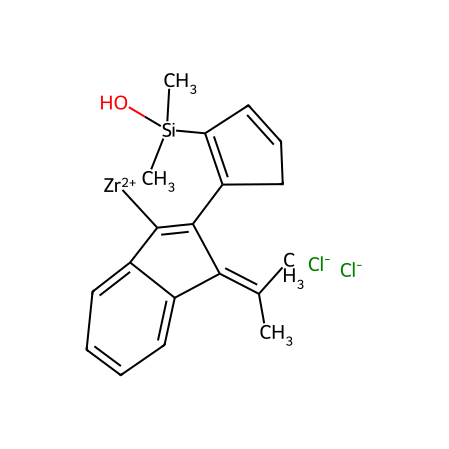 CC(C)=C1C(C2=C([Si](C)(C)O)C=CC2)=[C]([Zr+2])c2ccccc21.[Cl-].[Cl-]